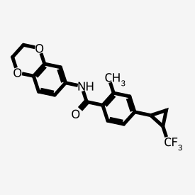 Cc1cc(C2CC2C(F)(F)F)ccc1C(=O)Nc1ccc2c(c1)OCCO2